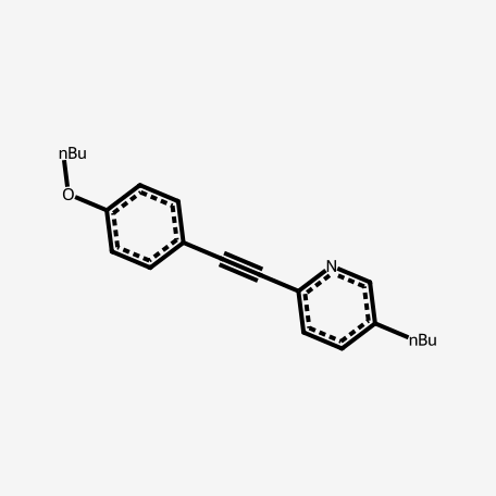 CCCCOc1ccc(C#Cc2ccc(CCCC)cn2)cc1